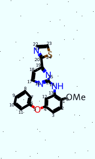 COc1ccc(Oc2ccccc2)cc1Nc1nccc(-c2nccs2)n1